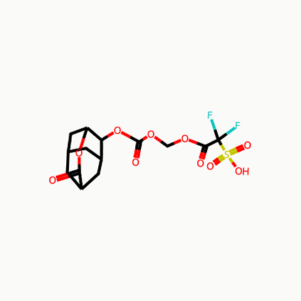 O=C(OCOC(=O)C(F)(F)S(=O)(=O)O)OC1C2CC3CC(C2)C(=O)OC1C3